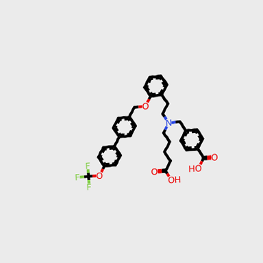 O=C(O)CCCCN(CCc1ccccc1OCc1ccc(-c2ccc(OC(F)(F)F)cc2)cc1)Cc1ccc(C(=O)O)cc1